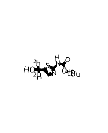 [2H]C([2H])(O)c1cnc(NC(=O)OC(C)(C)C)s1